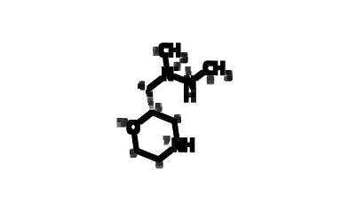 CNN(C)C[C@@H]1CNCCO1